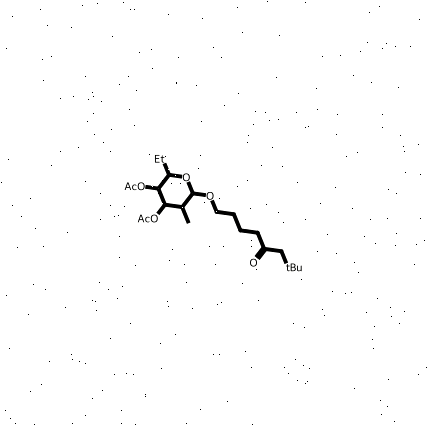 CCC1OC(OCCCCC(=O)CC(C)(C)C)C(C)C(OC(C)=O)C1OC(C)=O